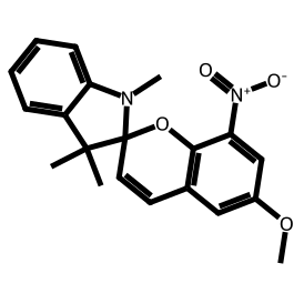 COc1cc2c(c([N+](=O)[O-])c1)OC1(C=C2)N(C)c2ccccc2C1(C)C